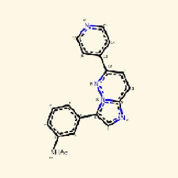 CC(=O)Nc1cccc(-c2cnc3ccc(-c4ccncc4)nn23)c1